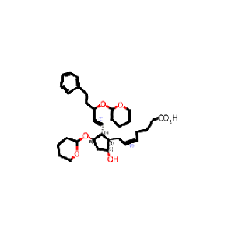 O=C(O)CCC/C=C\C[C@@H]1[C@@H](/C=C/C(CCc2ccccc2)OC2CCCCO2)[C@H](OC2CCCCO2)C[C@@H]1O